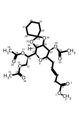 COC(=O)C/C=C/CC1O[C@@H]([C@@H](COC(C)=O)OC(C)=O)[C@H]2OC3(CCCCC3)OC2[C@H]1OC(C)=O